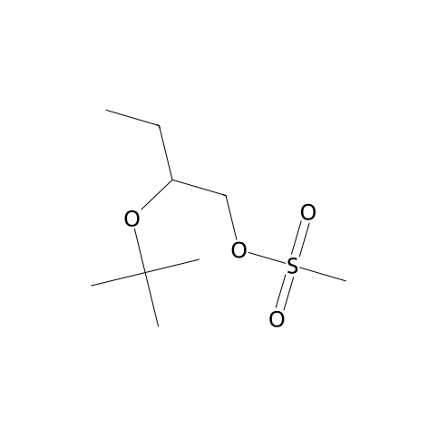 CCC(COS(C)(=O)=O)OC(C)(C)C